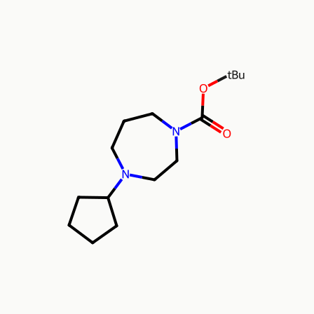 CC(C)(C)OC(=O)N1CCCN(C2CCCC2)CC1